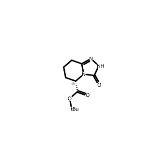 CC(C)(C)OC(=O)[C@@H]1CCCc2n[nH]c(=O)n21